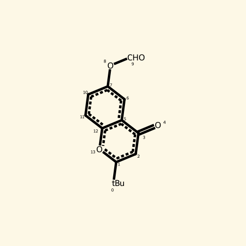 CC(C)(C)c1cc(=O)c2cc(OC=O)ccc2o1